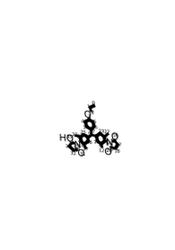 C=CCOc1ccc(C(c2cc(C)c(N3C(=O)C=CC3=O)c(C)c2)c2cc(C)c(N3C(=O)C=CC3O)c(C)c2)cc1